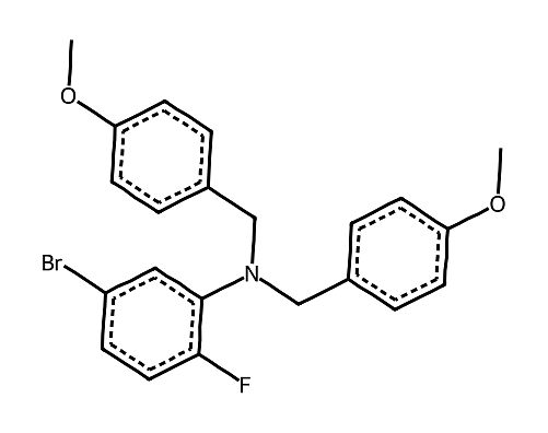 COc1ccc(CN(Cc2ccc(OC)cc2)c2cc(Br)ccc2F)cc1